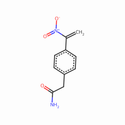 C=C(c1ccc(CC(N)=O)cc1)[N+](=O)[O-]